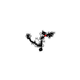 CC[C@@]1(O)C(=O)OCc2c1cc1n(c2=O)Cc2c-1nc1cc(F)c(Cl)cc1c2CNC(=O)C[C@H](C)OCNC(=O)CNC(=O)[C@H](Cc1ccccc1)NC(=O)CNC(=O)CNC(=O)CCCC#Cc1cnc(S(C)(=O)=O)nc1